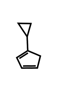 C1=CCC(C2CC2)=C1